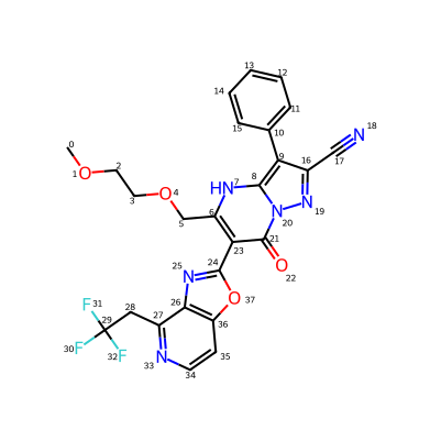 COCCOCc1[nH]c2c(-c3ccccc3)c(C#N)nn2c(=O)c1-c1nc2c(CC(F)(F)F)nccc2o1